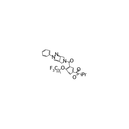 CC(C)S(=O)(=O)c1ccc(O[C@@H](C)C(F)(F)F)c(C(=O)N2Cc3cn(-c4ccccc4)nc3C2)c1